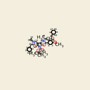 COc1ccc(C(=O)N(C[C@@H]2CN(C(=O)OC(C)(C)C)C[C@H]2CN(C(=O)Cc2ccccc2)C2CC2)C(C)C)cc1OCc1ccccc1